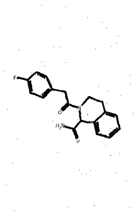 NC(=O)C1c2cc[c]cc2CCN1C(=O)Cc1ccc(F)cc1